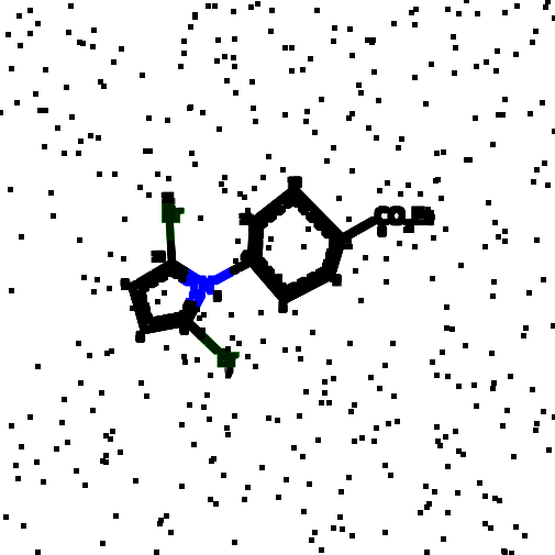 CCOC(=O)c1ccc(-n2c(Br)ccc2Br)cc1